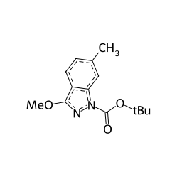 COc1nn(C(=O)OC(C)(C)C)c2cc(C)ccc12